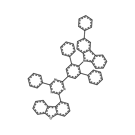 c1ccc(-c2ccc3c(c2)c2ccccc2n3-c2c(-c3ccccc3)cc(-c3nc(-c4ccccc4)nc(-c4cccc5oc6ccccc6c45)n3)cc2-c2ccccc2)cc1